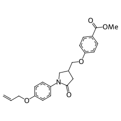 C=CCOc1ccc(N2CC(COc3ccc(C(=O)OC)cc3)CC2=O)cc1